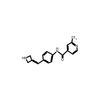 O=C(Nc1ccc(C=C2CNC2)cc1)c1ccnc(C(F)(F)F)c1